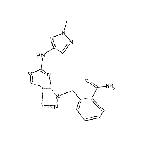 Cn1cc(Nc2ncc3cnn(Cc4ccccc4C(N)=O)c3n2)cn1